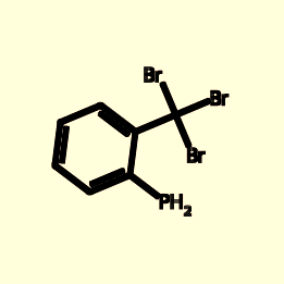 Pc1ccccc1C(Br)(Br)Br